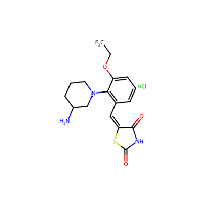 Cl.NC1CCCN(c2c(/C=C3/SC(=O)NC3=O)cccc2OCC(F)(F)F)C1